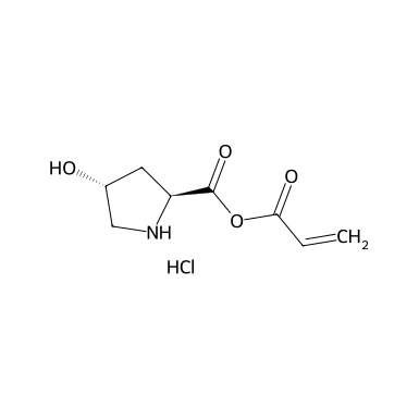 C=CC(=O)OC(=O)[C@@H]1C[C@@H](O)CN1.Cl